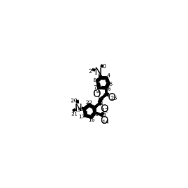 CN(C)c1ccc2c(c1)O/C(=C1/OC(=O)c3ccc(N(C)C)cc31)C2=O